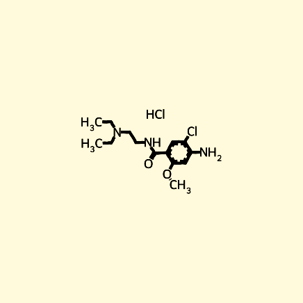 CCN(CC)CCNC(=O)c1cc(Cl)c(N)cc1OC.Cl